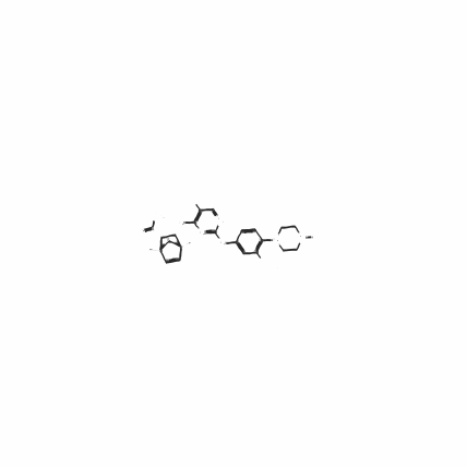 Cc1cc(Nc2ncc(F)c(N[C@H]3[C@@H](C(=O)[AsH2])[C@H]4C=C[C@@H]3C4)n2)ccc1N1CCN(C)CC1